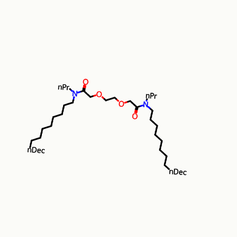 CCCCCCCCCCCCCCCCCCN(CCC)C(=O)COCCOCC(=O)N(CCC)CCCCCCCCCCCCCCCCCC